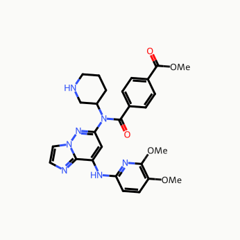 COC(=O)c1ccc(C(=O)N(c2cc(Nc3ccc(OC)c(OC)n3)c3nccn3n2)C2CCCNC2)cc1